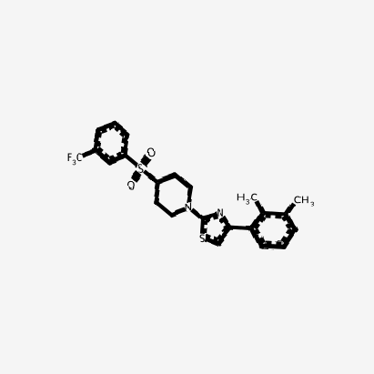 Cc1cccc(-c2csc(N3CCC(S(=O)(=O)c4cccc(C(F)(F)F)c4)CC3)n2)c1C